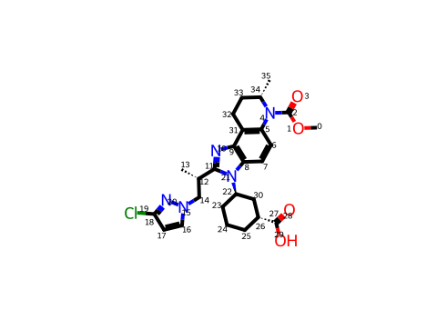 COC(=O)N1c2ccc3c(nc([C@@H](C)Cn4ccc(Cl)n4)n3[C@@H]3CCC[C@@H](C(=O)O)C3)c2CC[C@@H]1C